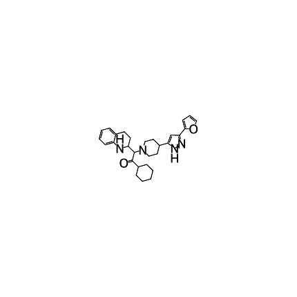 O=C(C1CCCCC1)C(C1CCc2ccccc2N1)N1CCC(c2cc(-c3ccco3)n[nH]2)CC1